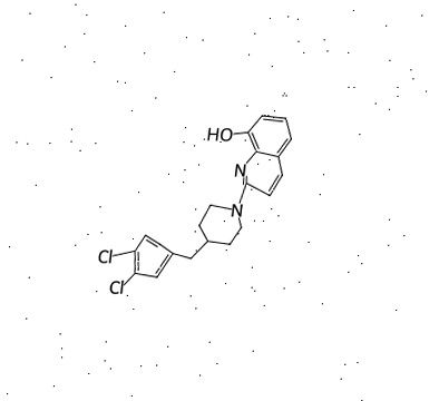 Oc1cccc2ccc(N3CCC(Cc4ccc(Cl)c(Cl)c4)CC3)nc12